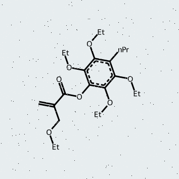 C=C(COCC)C(=O)Oc1c(OCC)c(OCC)c(CCC)c(OCC)c1OCC